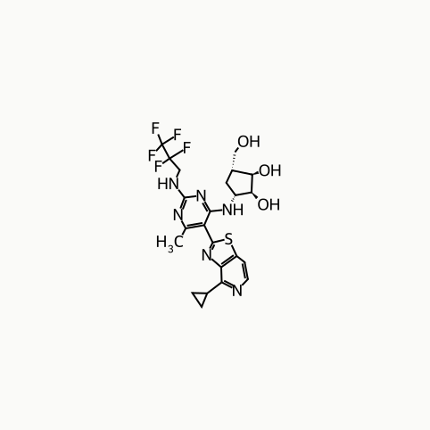 Cc1nc(NCC(F)(F)C(F)(F)F)nc(N[C@@H]2C[C@H](CO)[C@@H](O)[C@H]2O)c1-c1nc2c(C3CC3)nccc2s1